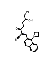 N#C/C(=C\c1ccc2ccccc2c1N1CCC1)C(=O)CCC(O)CO